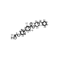 C[C@@H]1CN(c2ncc(OC[C@@H](C)O)cn2)C[C@H](C)N1C(=O)OC1CCN(Cc2ccccc2)CC1